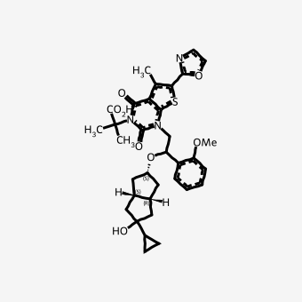 COc1ccccc1C(Cn1c(=O)n(C(C)(C)C(=O)O)c(=O)c2c(C)c(-c3ncco3)sc21)O[C@@H]1C[C@@H]2CC(O)(C3CC3)C[C@@H]2C1